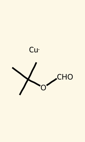 CC(C)(C)OC=O.[Cu]